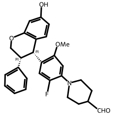 COc1cc(N2CCC(C=O)CC2)c(F)cc1[C@H]1c2ccc(O)cc2OC[C@H]1c1ccccc1